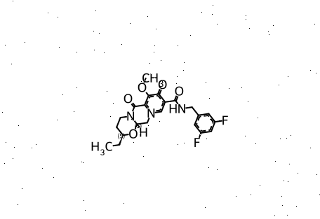 CC[C@H]1CCN2C(=O)c3c(OC)c(=O)c(C(=O)NCc4cc(F)cc(F)c4)cn3C[C@@H]2O1